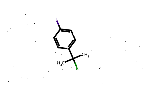 CC(C)(Br)c1ccc(I)cc1